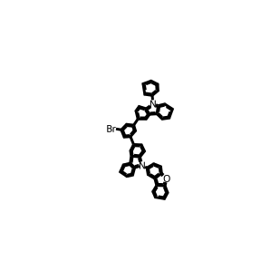 Brc1cc(-c2ccc3c(c2)c2ccccc2n3-c2ccccc2)cc(-c2ccc3c(c2)c2ccccc2n3-c2ccc3oc4ccccc4c3c2)c1